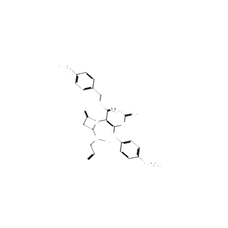 C=CC[S+]([O-])C1CC(=O)N1C(C(=O)OCc1ccc([N+](=O)[O-])cc1)=C(Oc1ccc(OC)cc1)SC(=O)C(C)(C)C